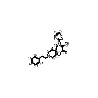 CC1OC2(CCN(CCc3ccccc3)CC2)CN(c2nccs2)C1=O